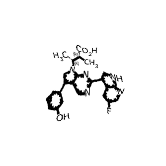 C[C@H]([C@@H](C)C(=O)O)n1cc(-c2cccc(O)c2)c2cnc(-c3c[nH]c4ncc(F)cc34)nc21